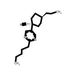 CCCCCc1ncc([C@]2(C#N)CC[C@H](CCC)CC2)cn1